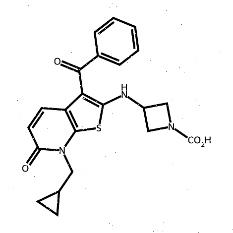 O=C(c1ccccc1)c1c(NC2CN(C(=O)O)C2)sc2c1ccc(=O)n2CC1CC1